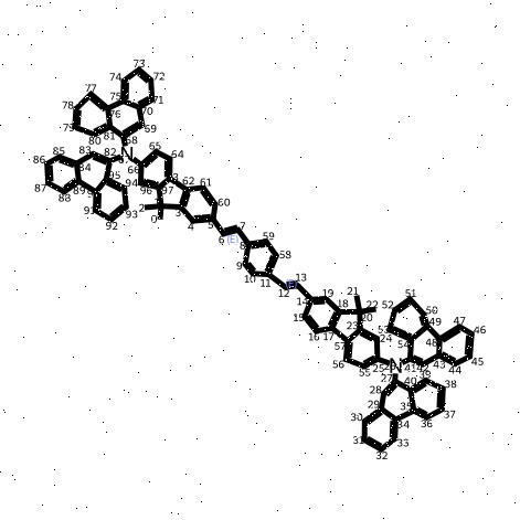 CC1(C)c2cc(/C=C/c3ccc(/C=C/c4ccc5c(c4)C(C)(C)c4cc(N(c6cc7ccccc7c7ccccc67)c6cc7ccccc7c7ccccc67)ccc4-5)cc3)ccc2-c2ccc(N(c3cc4ccccc4c4ccccc34)c3cc4ccccc4c4ccccc34)cc21